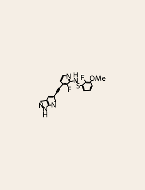 COc1cccc(SNc2nccc(C#Cc3cnc4[nH]ncc4c3)c2F)c1F